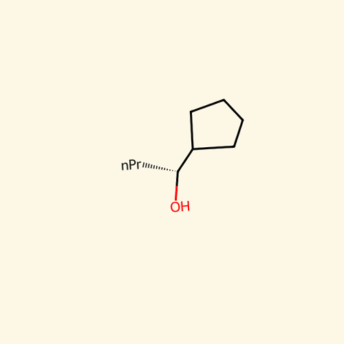 CCC[C@@H](O)C1CCCC1